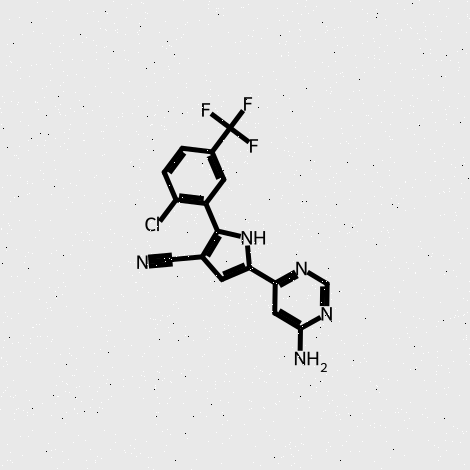 N#Cc1cc(-c2cc(N)ncn2)[nH]c1-c1cc(C(F)(F)F)ccc1Cl